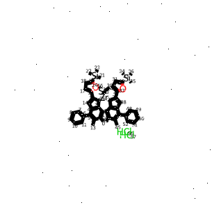 Cc1cc2c(c(-c3ccccc3)c1C)C=C(c1ccc([Si](C)(C)C)o1)[CH]2[Zr]([CH]1C(c2ccc([Si](C)(C)C)o2)=Cc2c1cc(C)c(C)c2-c1ccccc1)=[Si](C)C.Cl.Cl